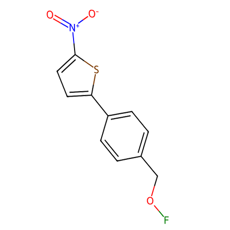 O=[N+]([O-])c1ccc(-c2ccc(COF)cc2)s1